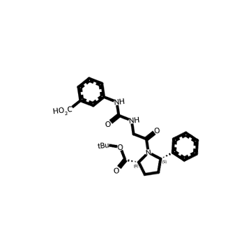 CC(C)(C)OC(=O)[C@H]1CC[C@@H](c2ccccc2)N1C(=O)CNC(=O)Nc1cccc(C(=O)O)c1